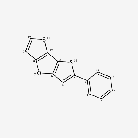 c1ccc(-c2cc3oc4ccsc4c3s2)cc1